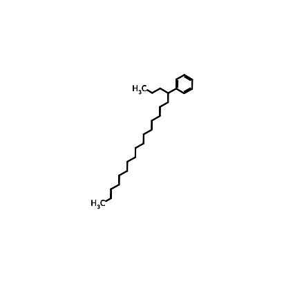 CCCCCCCCCCCCCCCCC(CCC)c1ccccc1